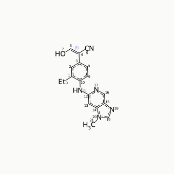 CCc1cc(/C(C#N)=C\O)ccc1Nc1cc2c(cn1)ncn2C